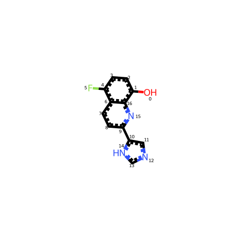 Oc1ccc(F)c2ccc(-c3cnc[nH]3)nc12